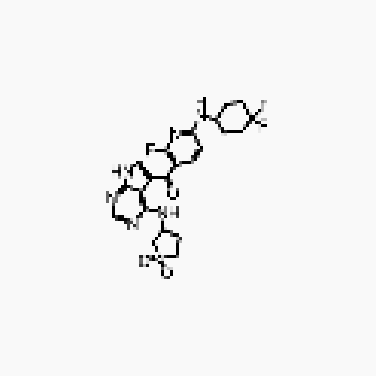 O=C(c1ccc(NC2CCC(F)(F)CC2)nc1F)c1c[nH]c2ncnc(NC3CCS(=O)(=O)C3)c12